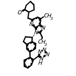 CCc1nc2c(C)cc(CC3CCCCC3=O)nc2n1[C@H]1CCc2cc(-c3ccccc3-c3nnn[nH]3)ccc21